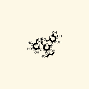 OC[C@H]1O[C@@H](O[C@H]2[C@H](O)[C@@H](O)[C@H](O[C@H]3[C@H](O)[C@@H](O)C(O)O[C@@H]3CO)O[C@@H]2CO)[C@H](O)[C@@H](O)[C@@H]1O.[CH2]CCCO